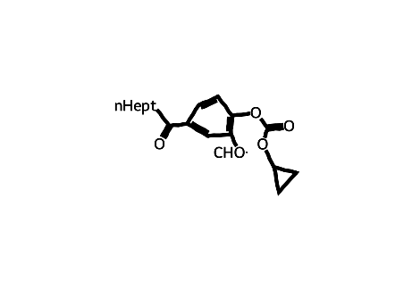 CCCCCCCC(=O)c1ccc(OC(=O)OC2CC2)c([C]=O)c1